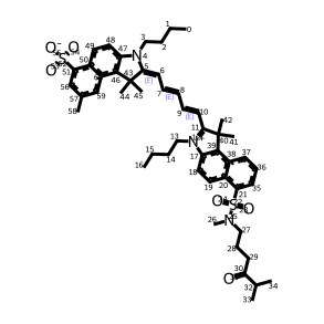 CCCCN1/C(=C/C=C/C=C/C2=[N+](CCCC)c3ccc4c(S(=O)(=O)N(C)CCCC(=O)C(C)C)cccc4c3C2(C)C)C(C)(C)c2c1ccc1c(S(=O)(=O)[O-])cc(C)cc21